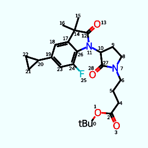 CC(C)(C)OC(=O)CCCN1CCC(N2C(=O)C(C)(C)c3cc(C4CC4)cc(F)c32)C1=O